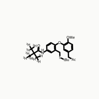 [2H]C([2H])([2H])C(C(=O)Nc1ccc(Oc2cc(CC(C)=O)ccc2OC)c(CSC(C)(C)C)c1)(C([2H])([2H])[2H])C([2H])([2H])[2H]